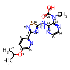 CC(C)Oc1ccc(-c2nsc(Nc3nccnc3N(C)C(=O)O)n2)nc1